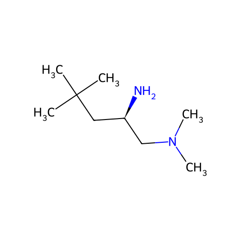 CN(C)C[C@H](N)CC(C)(C)C